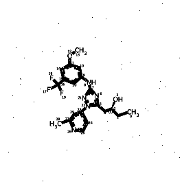 CC[C@H](O)Cc1nc(Nc2cc(OC)cc(C(F)(F)F)c2)nn1-c1ccnc(C)c1